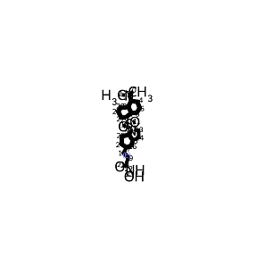 CN(C)c1cccc2c(S(=O)(=O)N3CCc4cc(/C=C/C(=O)NO)ccc43)cccc12